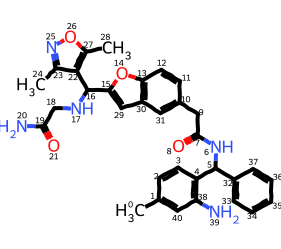 Cc1ccc(C(NC(=O)Cc2ccc3oc(C(NCC(N)=O)c4c(C)noc4C)cc3c2)c2ccccc2)c(N)c1